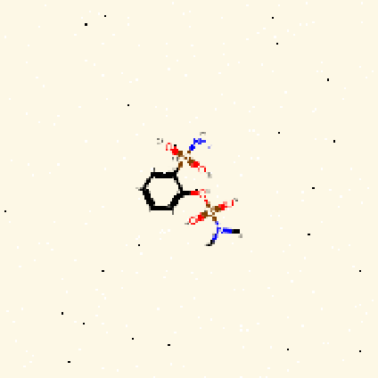 CN(C)S(=O)(=O)Oc1ccccc1S(N)(=O)=O